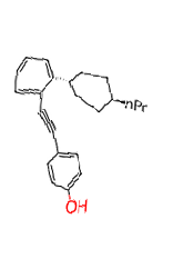 CCC[C@H]1CC[C@H](c2ccccc2C#Cc2ccc(O)cc2)CC1